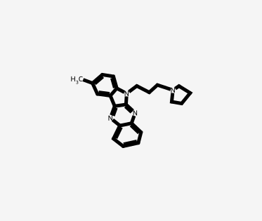 Cc1ccc2c(c1)c1nc3ccccc3nc1n2CCCN1CCCC1